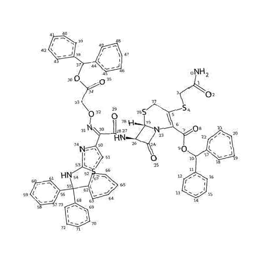 NC(=O)CSC1=C(C(=O)OC(c2ccccc2)c2ccccc2)N2C(=O)[C@@H](NC(=O)/C(=N\OCC(=O)OC(c3ccccc3)c3ccccc3)c3csc(NC(c4ccccc4)(c4ccccc4)c4ccccc4)n3)[C@@H]2SC1